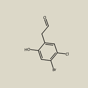 O=CCc1cc(Cl)c(Br)cc1O